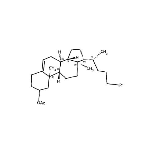 CC(=O)OC1CCC2=CC[C@H]3[C@@H]4CC[C@H]([C@H](C)CCCC(C)C)[C@@]4(C)CC[C@@H]3[C@@]2(C)C1